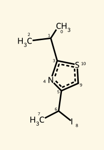 CC(C)c1nc(C(C)I)cs1